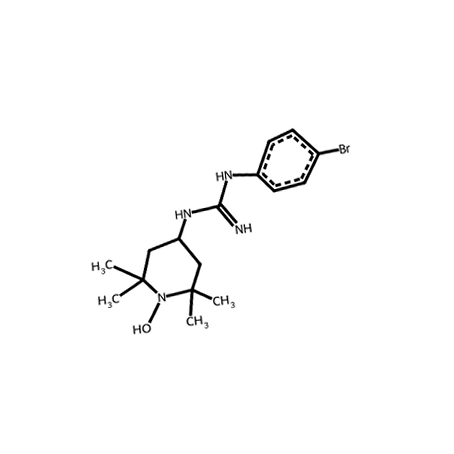 CC1(C)CC(NC(=N)Nc2ccc(Br)cc2)CC(C)(C)N1O